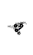 Cc1nn(C)c2c1C(C(=O)Nc1ccc(C(=O)O)cc1)C(C/C=C/c1cc(Cl)ccc1-n1cnnn1)CC2